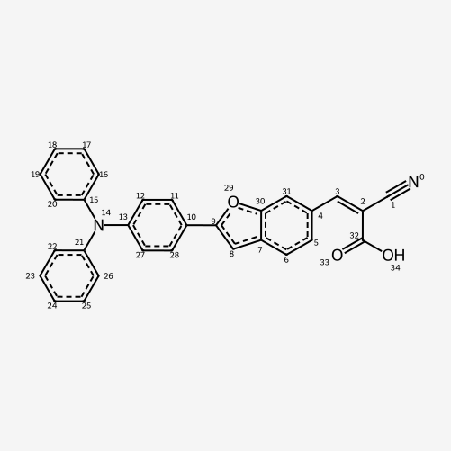 N#C/C(=C/c1ccc2cc(-c3ccc(N(c4ccccc4)c4ccccc4)cc3)oc2c1)C(=O)O